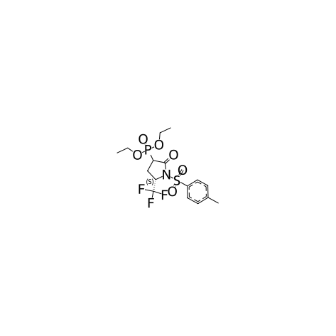 CCOP(=O)(OCC)C1C[C@@H](C(F)(F)F)N(S(=O)(=O)c2ccc(C)cc2)C1=O